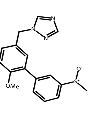 COc1ccc(Cn2cncn2)cc1-c1cccc([S+](C)[O-])c1